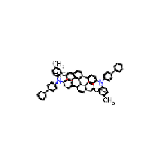 CC1=CC2C=CC(c3ccc(N(c4ccc(C)cc4)c4ccc(-c5ccccc5)cc4)cc3)=C(c3c(-c4ccc(N(c5ccc(C)cc5)c5ccc(-c6ccccc6)cc5)cc4)ccc4cc(C)ccc34)C2C=C1